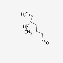 C=CC(CCCC=O)NC